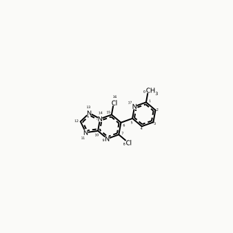 Cc1cccc(-c2c(Cl)nc3ncnn3c2Cl)n1